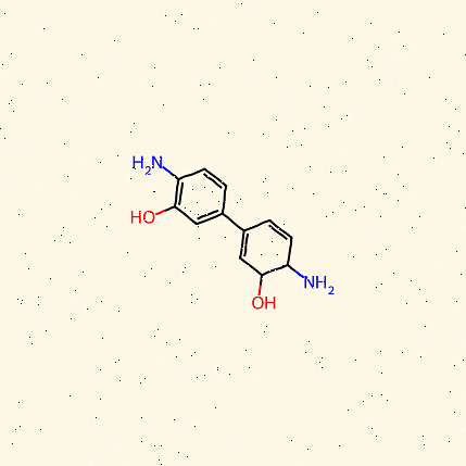 Nc1ccc(C2=CC(O)C(N)C=C2)cc1O